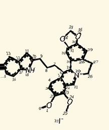 COc1ccc2c(CCCc3cc4ccccc4[nH]3)c3[n+](cc2c1OC)CCc1cc2c(cc1-3)OCO2.[I-]